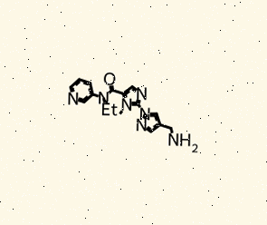 CCN(C(=O)c1cnc(-n2cc(CN)cn2)n1C)c1cccnc1